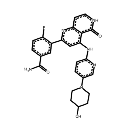 NC(=O)c1ccc(F)c(-c2cc(Nc3ccc(N4CCC(O)CC4)cn3)c3c(=O)[nH]ccc3n2)c1